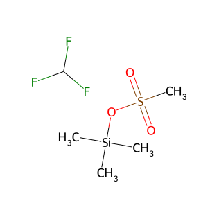 C[Si](C)(C)OS(C)(=O)=O.FC(F)F